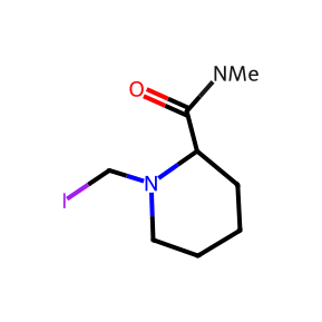 CNC(=O)C1CCCCN1CI